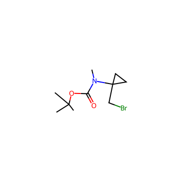 CN(C(=O)OC(C)(C)C)C1(CBr)CC1